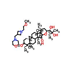 COCCN1CC(CN2CCO[C@@H](O[C@H]3CC[C@]45CC46CC[C@]4(C)[C@@H]7C(OC([C@H](O)C(C)(C)O)C[C@H]7C)[C@H](O)[C@@]4(C)C6CC[C@H]5C3(C)C)C2)C1